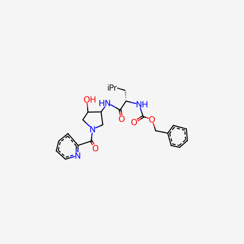 CC(C)C[C@H](NC(=O)OCc1ccccc1)C(=O)NC1CN(C(=O)c2ccccn2)CC1O